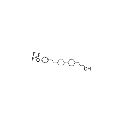 OCCCC1CCC(C2CCC(CCc3ccc(OC(F)(F)F)cc3)CC2)CC1